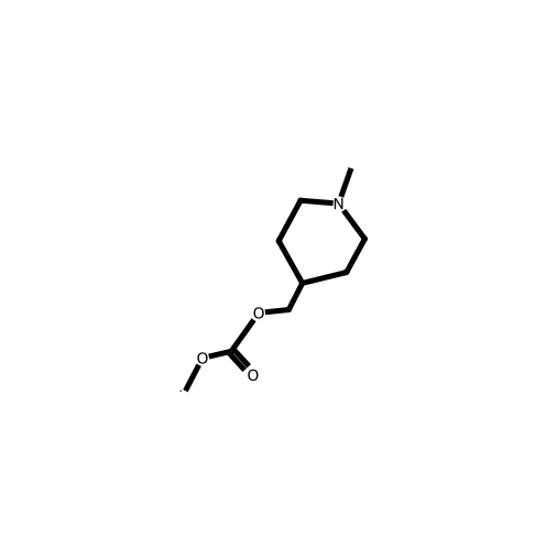 [CH2]OC(=O)OCC1CCN(C)CC1